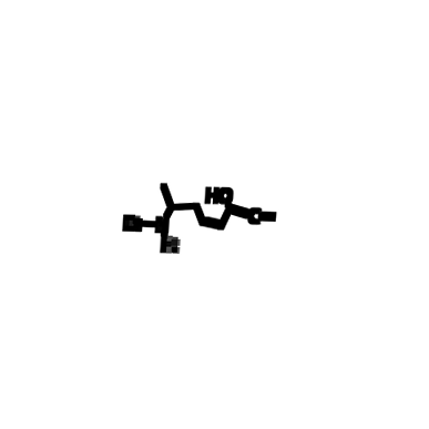 C=C=C(O)/C=C\CC(C)N(CC)CC